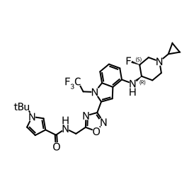 CC(C)(C)n1ccc(C(=O)NCc2nc(-c3cc4c(N[C@@H]5CCN(C6CC6)C[C@@H]5F)cccc4n3CC(F)(F)F)no2)c1